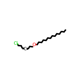 CCCCCCCCCCCCCCOCCC=C=CCCCl